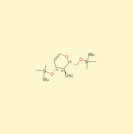 CC(=O)O[C@H]1[C@H](O[Si](C)(C)C(C)(C)C)C=CO[C@@H]1CO[Si](C)(C)C(C)(C)C